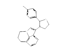 Clc1ccc(C2NCCC2c2cn3c4c(cccc24)CCC3)cc1